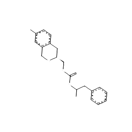 CCC(Cc1ccccc1)NC(=O)NC[C@@H]1Cc2ccc(O)cc2CN1